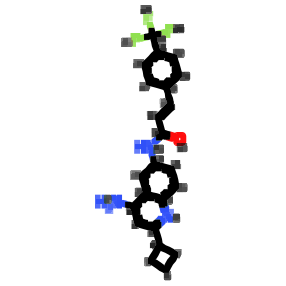 Nc1cc(C2CCC2)nc2ccc(NC(=O)/C=C/c3ccc(C(F)(F)F)cc3)cc12